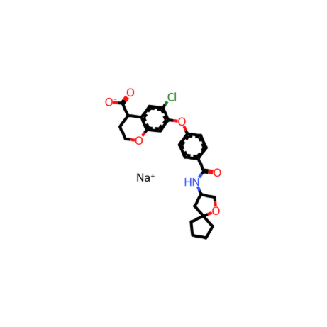 O=C(NC1COC2(CCCC2)C1)c1ccc(Oc2cc3c(cc2Cl)C(C(=O)[O-])CCO3)cc1.[Na+]